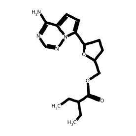 CCC(CC)C(=O)OCC1CCC(c2ccc3c(N)ncnn23)O1